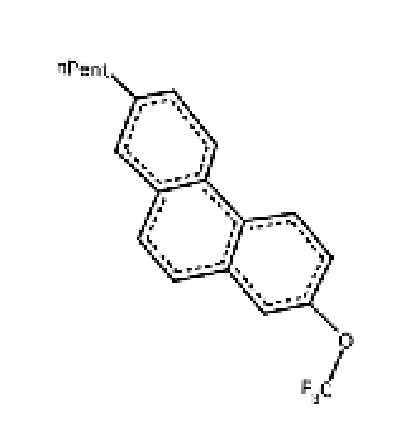 CCCCCc1ccc2c(ccc3cc(OC(F)(F)F)ccc32)c1